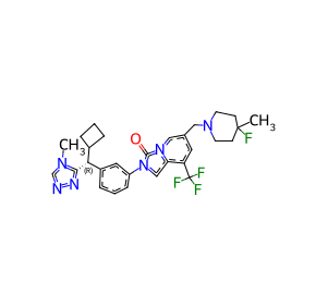 Cn1cnnc1[C@@H](c1cccc(-n2cc3c(C(F)(F)F)cc(CN4CCC(C)(F)CC4)cn3c2=O)c1)C1CCC1